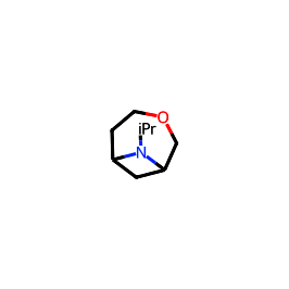 CC(C)N1C2CCOCC1C2